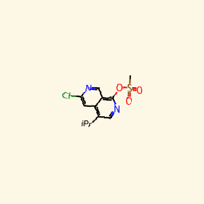 CC(C)c1cnc(OS(C)(=O)=O)c2cnc(Cl)cc12